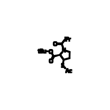 CC(=O)SC1CCN(C(=O)C(C)C)[C@@H]1C(=O)OC(C)(C)C